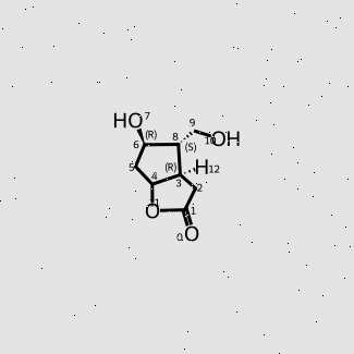 O=C1C[C@H]2C(C[C@@H](O)[C@@H]2CO)O1